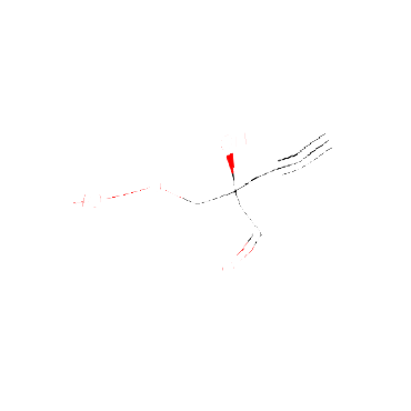 C#C[C@](O)(C=O)COO